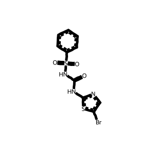 O=C(Nc1ncc(Br)s1)NS(=O)(=O)c1ccccc1